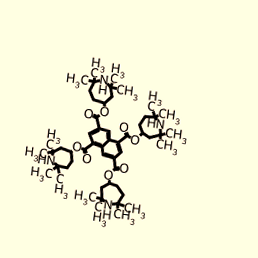 CC1(C)CCC(OC(=O)c2cc(C(=O)OC3CCC(C)(C)NC(C)(C)C3)c3cc(C(=O)OC4CCC(C)(C)NC(C)(C)C4)cc(C(=O)OC4CCC(C)(C)NC(C)(C)C4)c3c2)CC(C)(C)N1